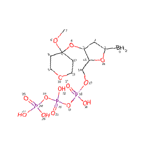 BC1CC(OC2(OC)CCOCC2)C(COP(=O)(O)OP(=O)(O)OP(=O)(O)O)O1